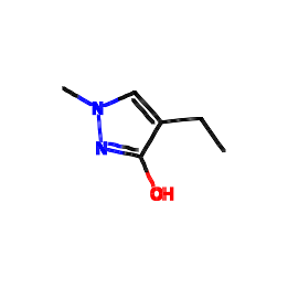 CCc1cn(C)nc1O